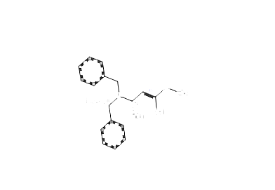 CCCC[C@@H](/C=C(\O)OC(C)(C)C)N(Cc1ccccc1)[C@@H](C)c1ccccc1